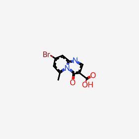 Cc1cc(Br)cc2ncc(C(=O)O)c(=O)n12